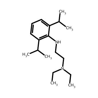 CCN(CC)CCNc1c(C(C)C)cccc1C(C)C